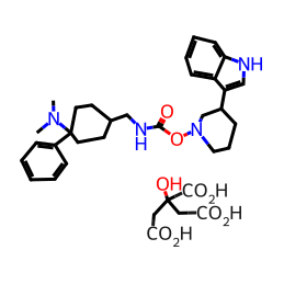 CN(C)C1(c2ccccc2)CCC(CNC(=O)ON2CCCC(c3c[nH]c4ccccc34)C2)CC1.O=C(O)CC(O)(CC(=O)O)C(=O)O